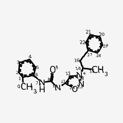 Cc1ccccc1NC(=O)[N-]c1c[n+](C(C)Cc2ccccc2)no1